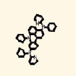 c1ccc(B(c2ccc3c(c2)N(c2ccccc2)c2cccc4c(B(c5ccccc5)c5ccccn5)ccc-3c24)c2ccccn2)cc1